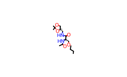 CCCCOC[C@@H](NC(C)=O)C(=O)NC[C@H]1COC(C)(C)O1